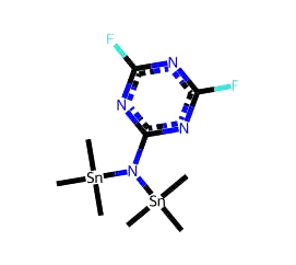 [CH3][Sn]([CH3])([CH3])[N](c1nc(F)nc(F)n1)[Sn]([CH3])([CH3])[CH3]